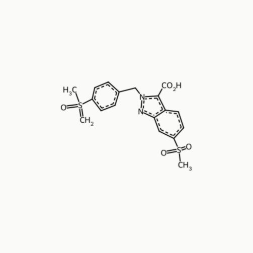 C=S(C)(=O)c1ccc(Cn2nc3cc(S(C)(=O)=O)ccc3c2C(=O)O)cc1